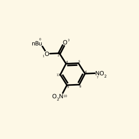 CCCCOC(=O)c1cc([N+](=O)[O-])cc([N+](=O)[O-])c1